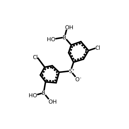 [O-][S+](c1cc(Cl)cc(B(O)O)c1)c1cc(Cl)cc(B(O)O)c1